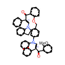 COc1ccccc1C(=O)/C(=C/N(c1ccccc1)c1ccc(COc2ccccc2C(=O)/C(=C/N2CCc3ccccc32)c2ccccc2)cc1)c1ccccc1